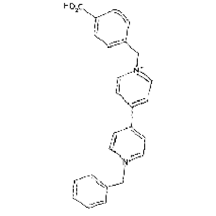 O=C(O)c1ccc(C[n+]2ccc(-c3cc[n+](Cc4ccccc4)cc3)cc2)cc1